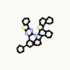 c1ccc(-c2cccc(-c3nc4sc5ccccc5c4nc3-n3c4ccccc4c4c5ccccc5c5c(sc6ccc7ccccc7c65)c43)c2)cc1